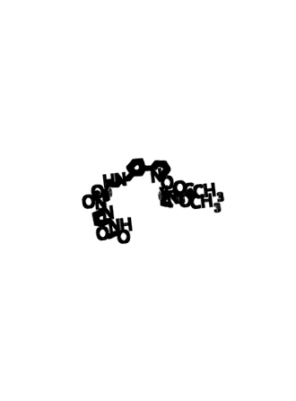 CC(C)(C)OC(=O)N1CC[C@H]1COc1cccc(-c2cccc(CNCC[C@H]3CN(c4ccc5c(n4)NC(=O)CO5)C(=O)O3)c2)n1